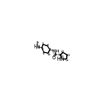 O=C(N[C@H]1CC[C@H](NI)CC1)[C@@H]1CCCN1